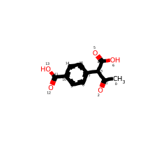 CC(=O)C(C(=O)O)c1ccc(C(=O)O)cc1